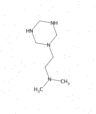 CN(C)CCN1CNCNC1